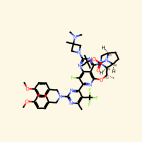 COc1ccc(CN(Cc2ccc(OC)cc2)c2nc(C)c(C(F)(F)F)c(-c3nc4c5c(nc(N6CC(C)(N(C)C)C6)nc5c3F)N3C[C@H]5CC[C@@H]([C@H]3[C@H](C)O4)N5C(=O)OC(C)(C)C)n2)cc1